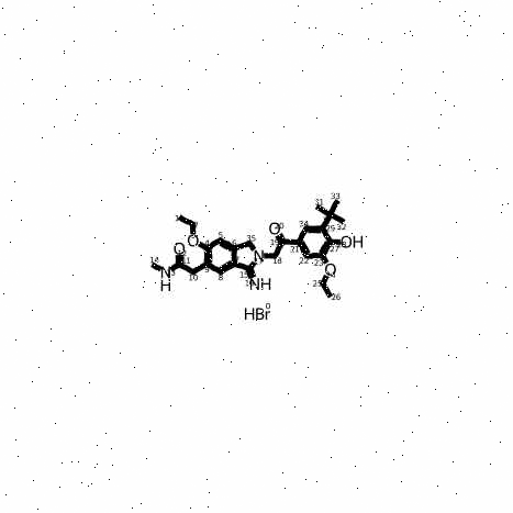 Br.CCOc1cc2c(cc1CC(=O)NC)C(=N)N(CC(=O)c1cc(OCC)c(O)c(C(C)(C)C)c1)C2